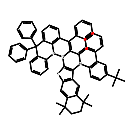 CC(C)(C)c1ccc(N2c3cc4ccccc4c4c3B(c3sc5cc6c(cc5c32)C(C)(C)CCC6(C)C)N2c3ccccc3C(c3ccccc3)(c3ccccc3)c3cccc-4c32)c(-c2ccccc2)c1